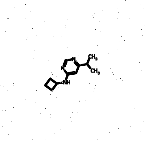 CC(C)c1cc(NC2CCC2)ncn1